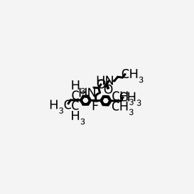 CCCCNC(=O)OC1CNC(C(F)(c2ccc(C(C)(C)CC)cc2)c2ccc(C(C)(C)CC)cc2)C1